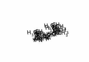 CCN(C(=O)OC(C)(C)C)[C@H](c1nc2ccc(-c3ccc4c(c3)C(F)(F)c3cc(-c5cnc([C@@H]6CC7(CC7)CN6C(=O)OC(C)(C)C)[nH]5)ccc3-4)cc2[nH]1)C(C)C